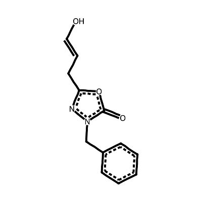 O=c1oc(CC=CO)nn1Cc1ccccc1